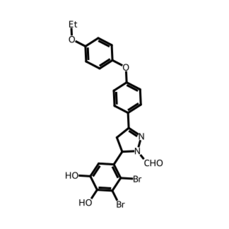 CCOc1ccc(Oc2ccc(C3=NN(C=O)C(c4cc(O)c(O)c(Br)c4Br)C3)cc2)cc1